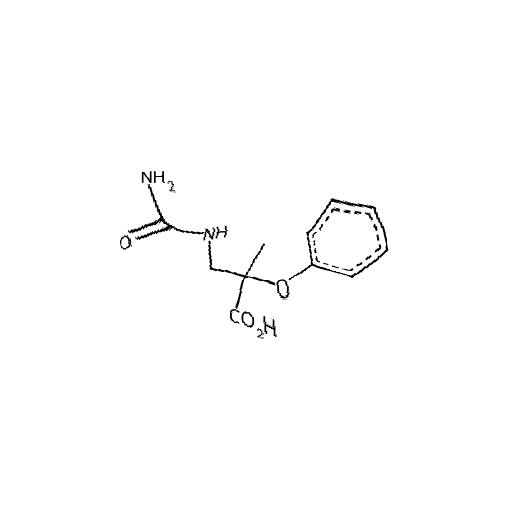 CC(CNC(N)=O)(Oc1ccccc1)C(=O)O